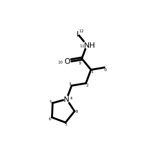 CC(CCN1CCCC1)C(=O)NI